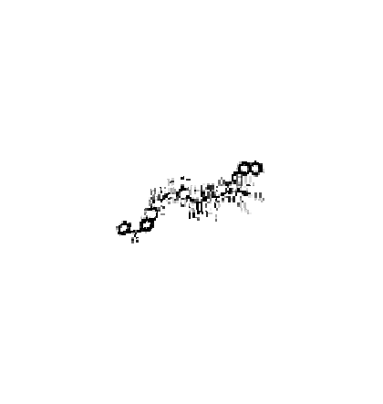 CC(=O)C(Cc1ccc(C(=O)c2ccccc2)cc1)NC(=O)C(C)(C)NC(=O)C(C)NC(=O)C(C)(C)NC(C)(C=O)NC(=O)C(C)(C)NC(=O)C(Cc1ccc2ccccc2c1)NC(=O)C(C)(C)N